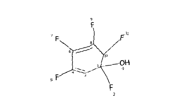 OC1(F)C=C(F)C(F)=C(F)C1F